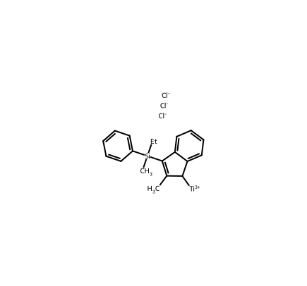 CC[Si](C)(C1=C(C)[CH]([Ti+3])c2ccccc21)c1ccccc1.[Cl-].[Cl-].[Cl-]